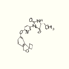 CC[C@H]1NC(=O)N(c2ccc(Oc3ccc4c(c3)C3(CCC3)OC4)nc2)C1=O